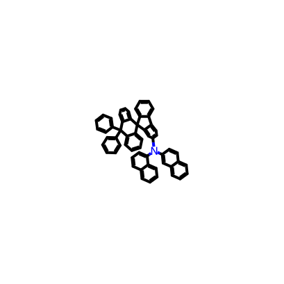 c1ccc(C2(c3ccccc3)c3ccccc3C3(c4ccccc4-c4ccc(N(c5ccc6ccccc6c5)c5cccc6ccccc56)cc43)c3ccccc32)cc1